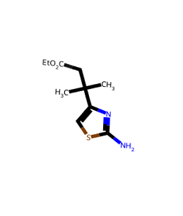 CCOC(=O)CC(C)(C)c1csc(N)n1